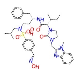 CCC(C)[C@@H](C(=O)N[C@@H](Cc1ccccc1)[C@H](O)CN(CC(C)C)S(=O)(=O)c1ccc(/C=N/O)cc1)N1CCN(Cc2nc3ccccc3n2C)C1=O